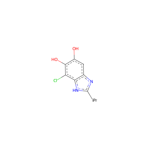 CC(C)c1nc2cc(O)c(O)c(Cl)c2[nH]1